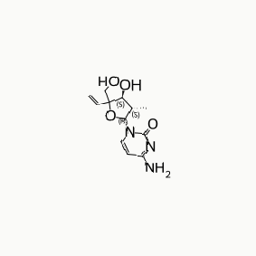 C=CC1(CO)O[C@@H](n2ccc(N)nc2=O)[C@@H](C)[C@@H]1O